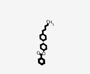 CCCCCC1CCC([C@H]2CC[C@H](OC(=O)c3cc[c]cc3)CC2)CC1